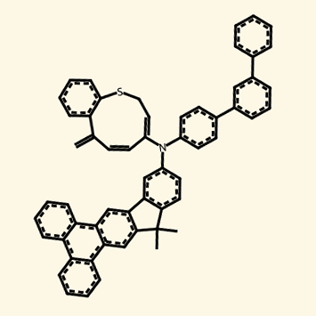 C=C1/C=C\C(N(c2ccc(-c3cccc(-c4ccccc4)c3)cc2)c2ccc3c(c2)-c2cc4c5ccccc5c5ccccc5c4cc2C3(C)C)=C/CSc2ccccc21